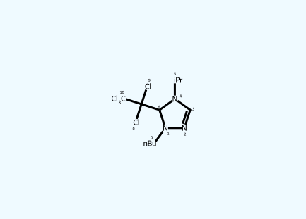 CCCCN1N=CN(C(C)C)C1C(Cl)(Cl)C(Cl)(Cl)Cl